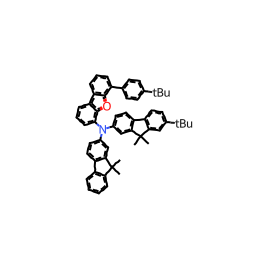 CC(C)(C)c1ccc(-c2cccc3c2oc2c(N(c4ccc5c(c4)C(C)(C)c4ccccc4-5)c4ccc5c(c4)C(C)(C)c4cc(C(C)(C)C)ccc4-5)cccc23)cc1